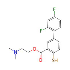 CN(C)CCOC(=O)c1cc(-c2ccc(F)cc2F)ccc1S